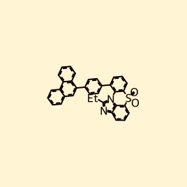 CCc1nc2cccc3c2n1-c1c(-c2ccc(-c4cc5ccccc5c5ccccc45)cc2)cccc1S3(=O)=O